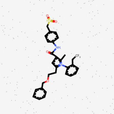 Cc1c(C(=O)Nc2ccc(C[SH](=O)=O)cc2)cc(CCOCc2ccccc2)n1-c1ccccc1CC(F)(F)F